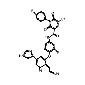 CCn1cc(C(=O)Nc2ccc(OC3=CC(c4c[nH]cn4)=CN/C3=C\C=N)c(F)c2)c(=O)n(-c2ccc(F)cc2)c1=O